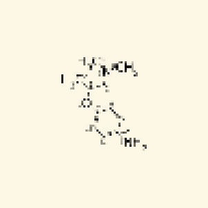 CC(CN(C)C)Oc1ccc(N)cc1